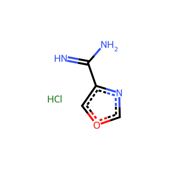 Cl.N=C(N)c1cocn1